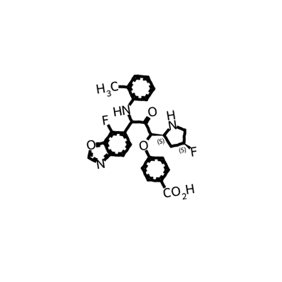 Cc1ccccc1NC(C(=O)C(Oc1ccc(C(=O)O)cc1)[C@@H]1C[C@H](F)CN1)c1ccc2ncoc2c1F